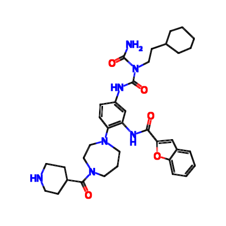 NC(=O)N(CCC1CCCCC1)C(=O)Nc1ccc(N2CCCN(C(=O)C3CCNCC3)CC2)c(NC(=O)c2cc3ccccc3o2)c1